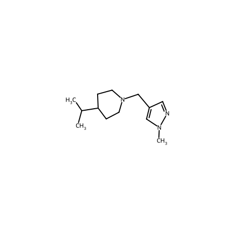 CC(C)C1CCN(Cc2cnn(C)c2)CC1